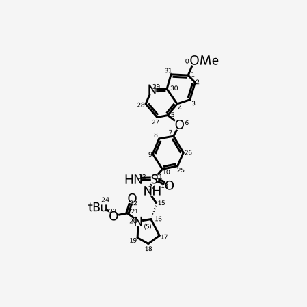 COc1ccc2c(Oc3ccc(S(=N)(=O)NC[C@@H]4CCCN4C(=O)OC(C)(C)C)cc3)ccnc2c1